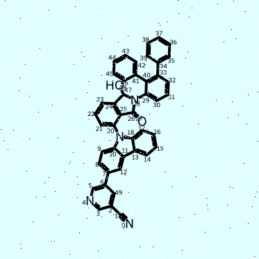 N#Cc1cncc(-c2ccc3c(c2)c2ccccc2n3-c2cccc3c2C(=O)N(c2cccc(-c4ccccc4)c2-c2ccccc2)C3O)c1